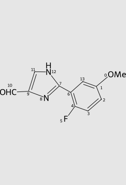 COc1ccc(F)c(-c2nc(C=O)c[nH]2)c1